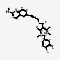 CN/C(C)=C(/C(=O)NCC#Cc1ccc2nc(NC)ncc2c1)C(=O)N(C)Cc1ccc(F)c(F)c1